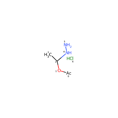 CC(=O)OC(C)NN.Cl